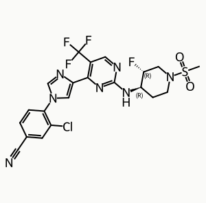 CS(=O)(=O)N1CC[C@@H](Nc2ncc(C(F)(F)F)c(-c3cn(-c4ccc(C#N)cc4Cl)cn3)n2)[C@H](F)C1